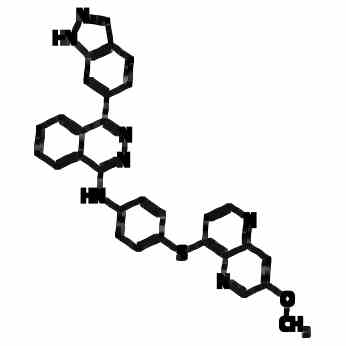 COc1cnc2c(Sc3ccc(Nc4nnc(-c5ccc6cn[nH]c6c5)c5ccccc45)cc3)ccnc2c1